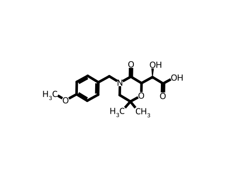 COc1ccc(CN2CC(C)(C)OC([C@@H](O)C(=O)O)C2=O)cc1